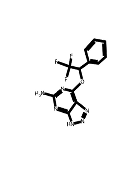 Nc1nc(OC(c2ccccc2)C(F)(F)F)c2nn[nH]c2n1